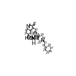 COc1ccc2ncc(F)c(CCCC3(C(=O)NO)CCN(CCC4CCCCC4)CC3)c2c1